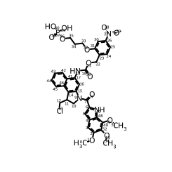 COc1cc2cc(C(=O)N3CC(CCl)c4c3cc(NC(=O)OCc3ccc([N+](=O)[O-])cc3OCCCOP(=O)(O)O)c3ccccc43)[nH]c2c(OC)c1OC